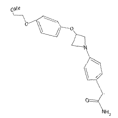 COCCOc1ccc(OC2CN(c3ccc([CH]C(N)=O)cc3)C2)cc1